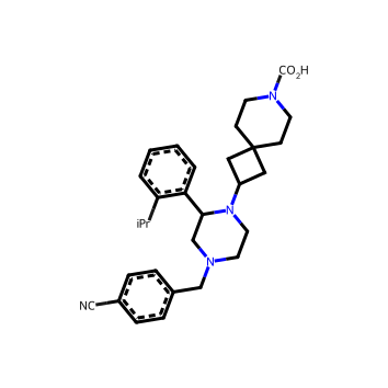 CC(C)c1ccccc1C1CN(Cc2ccc(C#N)cc2)CCN1C1CC2(CCN(C(=O)O)CC2)C1